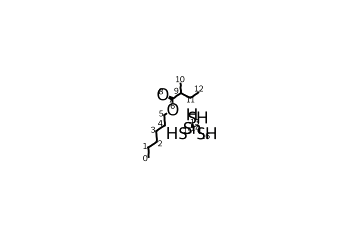 CCCCCCOC(=O)C(C)CC.[SH][SnH]([SH])[SH]